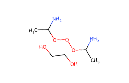 CC(N)OOOC(C)N.OCCO